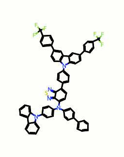 FC(F)(F)c1ccc(-c2ccc3c(c2)c2cc(-c4ccc(C(F)(F)F)cc4)ccc2n3-c2ccc(-c3ccc(N(c4ccc(-c5ccccc5)cc4)c4ccc(-n5c6ccccc6c6ccccc65)cc4)c4nsnc34)cc2)cc1